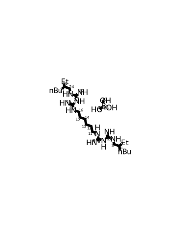 CCCCC(CC)CNC(=N)NC(=N)NCCCCCCNC(=N)NC(=N)NCC(CC)CCCC.OB(O)O